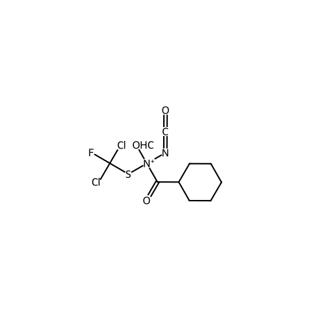 O=C=N[N+](C=O)(SC(F)(Cl)Cl)C(=O)C1CCCCC1